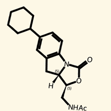 CC(=O)NC[C@@H]1OC(=O)N2c3ccc(C4CCCCC4)cc3C[C@@H]12